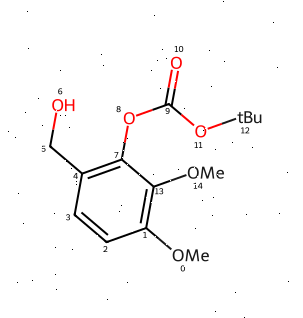 COc1ccc(CO)c(OC(=O)OC(C)(C)C)c1OC